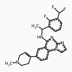 CC(Nc1nc2nccn2c2ccc(C3=CCN(C)CC3)cc12)c1cccc(C(F)F)c1F